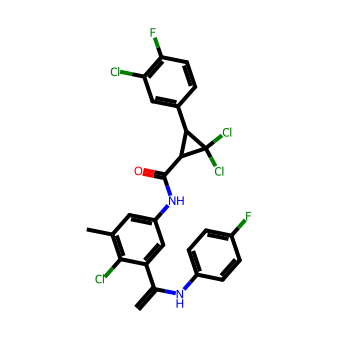 C=C(Nc1ccc(F)cc1)c1cc(NC(=O)C2C(c3ccc(F)c(Cl)c3)C2(Cl)Cl)cc(C)c1Cl